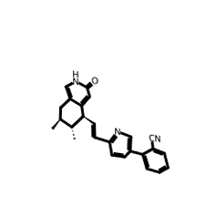 C[C@H]1[C@H](/C=C/c2ccc(-c3ccccc3C#N)cn2)c2cc(=O)[nH]cc2C[C@@H]1C